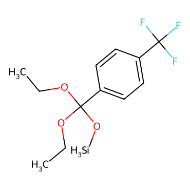 CCOC(O[SiH3])(OCC)c1ccc(C(F)(F)F)cc1